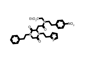 CCOC(=O)CN(CCc1ccc([N+](=O)[O-])cc1)C(=O)CC1C(=O)N(CCc2ccccc2)CC(=O)N1CCc1cccs1